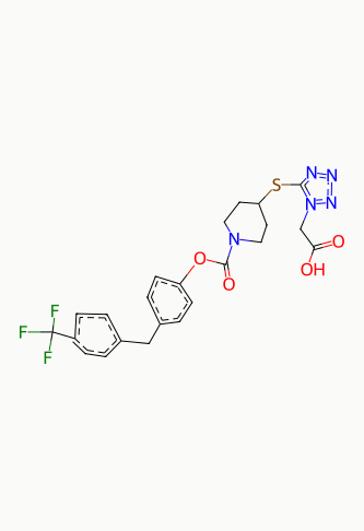 O=C(O)Cn1nnnc1SC1CCN(C(=O)Oc2ccc(Cc3ccc(C(F)(F)F)cc3)cc2)CC1